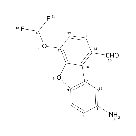 Nc1ccc2oc3c(OC(F)F)ccc(C=O)c3c2c1